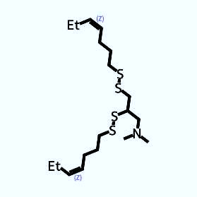 CC/C=C\CCCSSCC(CN(C)C)SSCCC/C=C\CC